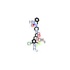 COC(=O)C(CC(=O)N1CCC(N2Cc3ccccc3NC2=O)CC1)Cc1cc(Cl)c(N)c(C(F)(F)F)c1